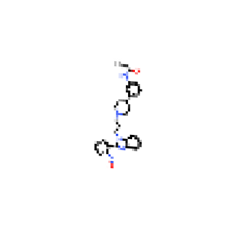 CC(=O)Nc1cccc(C2CCN(CCCn3c(-c4ccccc4N=O)nc4ccccc43)CC2)c1